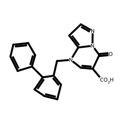 O=C(O)c1cn(Cc2ccccc2-c2ccccc2)c2ccnn2c1=O